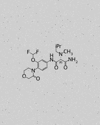 CC(C)CN(C)[C@H](C(N)=O)C(=O)Nc1ccc(N2CCOCC2=O)c(OC(F)F)c1